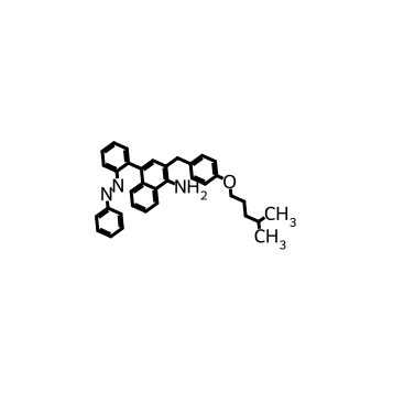 CC(C)CCCOc1ccc(Cc2cc(-c3ccccc3N=Nc3ccccc3)c3ccccc3c2N)cc1